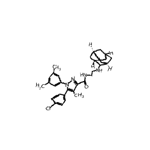 Cc1cc(C)cc(-n2nc(C(=O)NCCNC3[C@H]4C[C@@H]5C[C@@H](C[C@H]3C5)C4)c(C)c2-c2ccc(Cl)cc2)c1